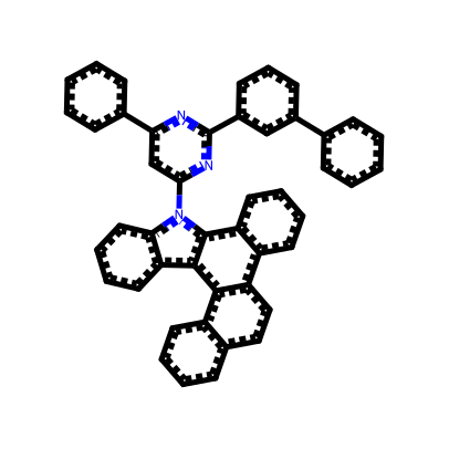 c1ccc(-c2cccc(-c3nc(-c4ccccc4)cc(-n4c5ccccc5c5c6c7ccccc7ccc6c6ccccc6c54)n3)c2)cc1